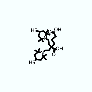 CC1(C)CC(S)CC(C)(C)N1CCC(CCCC(=O)O)(CCN1C(C)(C)CC(S)CC1(C)C)C(=O)O